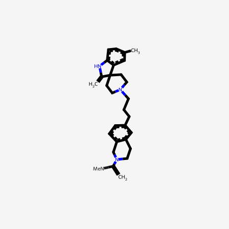 C=C(NC)N1CCc2cc(CCCN3CCC4(CC3)C(=C)Nc3ccc(C)cc34)ccc2C1